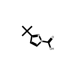 CC(C)(C)c1ccn(C(=O)O)n1